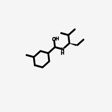 CC[C@H](NC(O)C1CCCC(C)C1)C(C)C